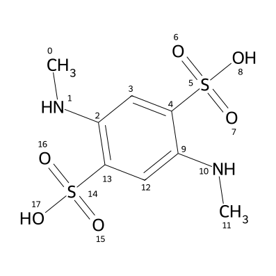 CNc1cc(S(=O)(=O)O)c(NC)cc1S(=O)(=O)O